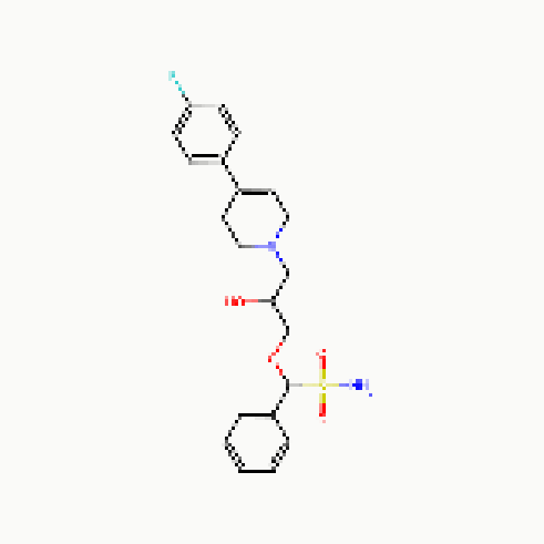 NS(=O)(=O)C(OCC(O)CN1CC=C(c2ccc(F)cc2)CC1)c1ccccc1